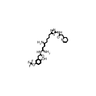 N/C(=C\C=C(/N)NC(=O)Cc1cc(OC(F)(F)F)ccc1O)CCCCc1nnc(NC(=O)CC2=NC=CCC2)s1